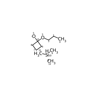 CCCOC1([O])CCC1.C[SiH](C)C